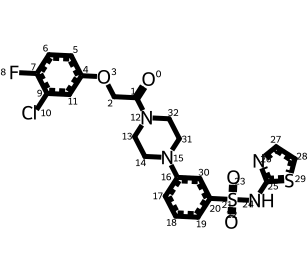 O=C(COc1ccc(F)c(Cl)c1)N1CCN(c2cccc(S(=O)(=O)Nc3nccs3)c2)CC1